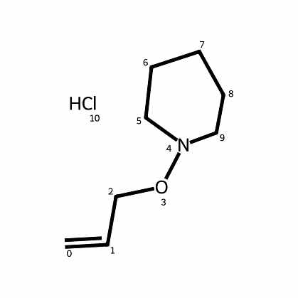 C=CCON1CCCCC1.Cl